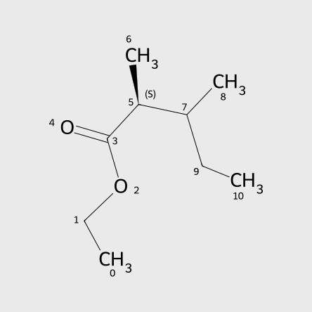 CCOC(=O)[C@@H](C)C(C)CC